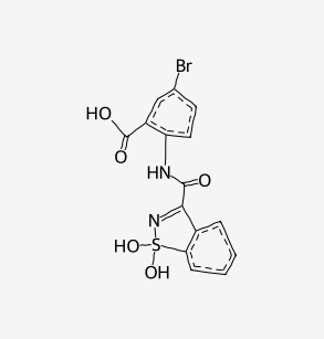 O=C(Nc1ccc(Br)cc1C(=O)O)C1=NS(O)(O)c2ccccc21